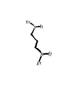 CCN(CC)CCCN(CC)CC